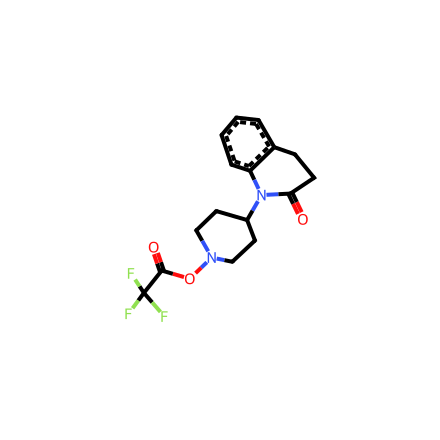 O=C1CCc2ccccc2N1C1CCN(OC(=O)C(F)(F)F)CC1